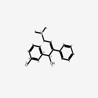 CN(C)CC=C(c1ccccc1)C(O)c1cccc(Cl)c1